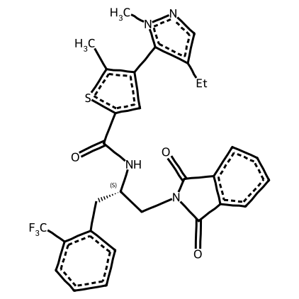 CCc1cnn(C)c1-c1cc(C(=O)N[C@@H](Cc2ccccc2C(F)(F)F)CN2C(=O)c3ccccc3C2=O)sc1C